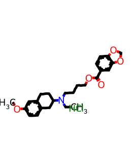 CCN(CCCCOC(=O)c1ccc2c(c1)OCO2)C1CCc2cc(OC)ccc2C1.Cl